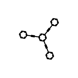 C(#Cc1ccccc1)c1[c]c(C#Cc2ccccc2)cc(C#Cc2ccccc2)c1